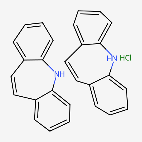 C1=Cc2ccccc2Nc2ccccc21.C1=Cc2ccccc2Nc2ccccc21.Cl